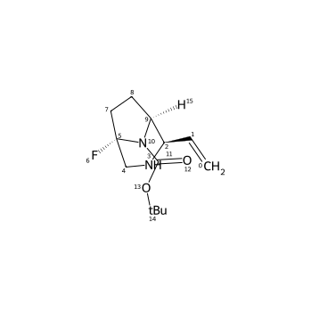 C=C[C@H]1NC[C@@]2(F)CC[C@@H]1N2C(=O)OC(C)(C)C